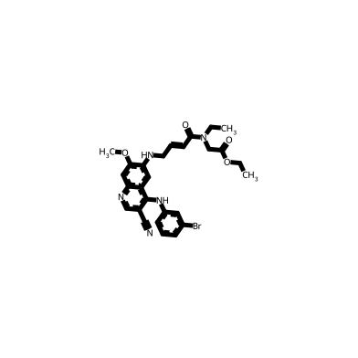 CCOC(=O)CN(CC)C(=O)C=CCNc1cc2c(Nc3cccc(Br)c3)c(C#N)cnc2cc1OC